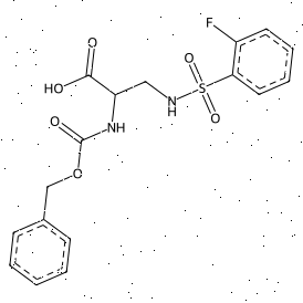 O=C(NC(CNS(=O)(=O)c1ccccc1F)C(=O)O)OCc1ccccc1